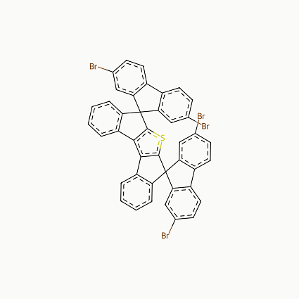 Brc1ccc2c(c1)C1(c3cc(Br)ccc3-2)c2ccccc2-c2c1sc1c2-c2ccccc2C12c1cc(Br)ccc1-c1ccc(Br)cc12